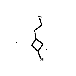 CC(=O)CCC1CC(O)C1